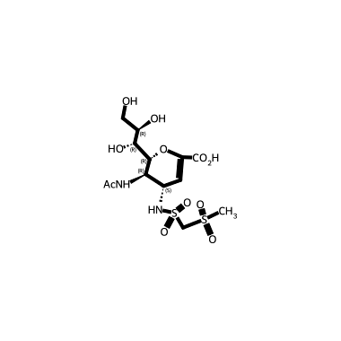 CC(=O)N[C@H]1[C@H]([C@H](O)[C@H](O)CO)OC(C(=O)O)=C[C@@H]1NS(=O)(=O)CS(C)(=O)=O